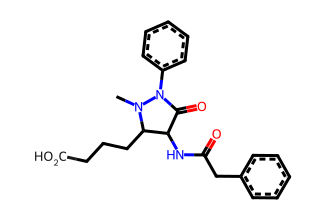 CN1C(CCCC(=O)O)C(NC(=O)Cc2ccccc2)C(=O)N1c1ccccc1